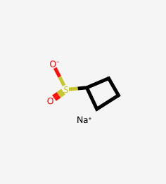 O=S([O-])C1CCC1.[Na+]